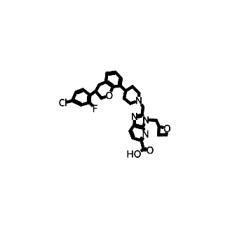 O=C(O)c1ccc2nc(CN3CCC(c4cccc5c4OCC(c4ccc(Cl)cc4F)C5)CC3)n(CC3CCO3)c2n1